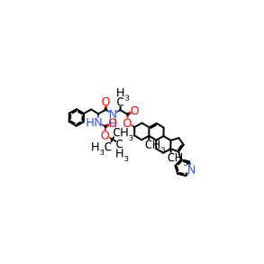 CC(NC(=O)C(Cc1ccccc1)NC(=O)OC(C)(C)C)C(=O)OC1CCC2(C)C(=CCC3C2CCC2(C)C(c4cccnc4)=CCC32)C1